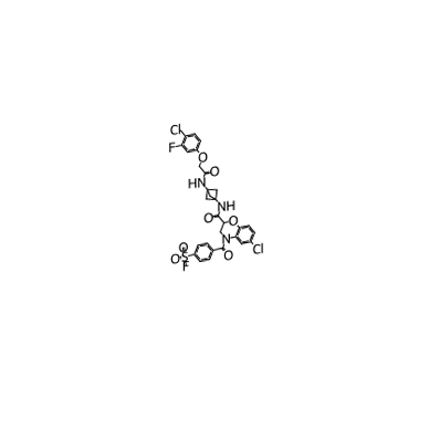 O=C(COc1ccc(Cl)c(F)c1)NC12CC(NC(=O)C3CN(C(=O)c4ccc(S(=O)(=O)F)cc4)c4cc(Cl)ccc4O3)(C1)C2